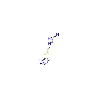 Cc1[nH]cnc1CSCC/N=C/NC#N